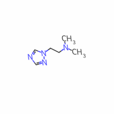 CN(C)CCn1cncn1